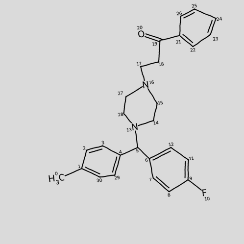 Cc1ccc(C(c2ccc(F)cc2)N2CCN(CCC(=O)c3ccccc3)CC2)cc1